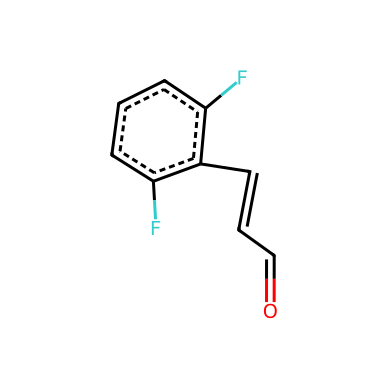 O=CC=Cc1c(F)cccc1F